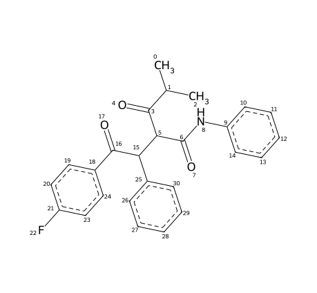 CC(C)C(=O)C(C(=O)Nc1ccccc1)C(C(=O)c1ccc(F)cc1)c1ccccc1